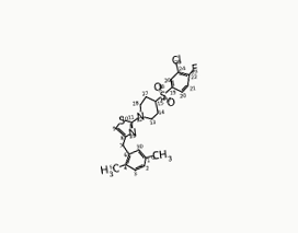 Cc1ccc(C)c(Cc2csc(N3CCC(S(=O)(=O)c4ccc(F)c(Cl)c4)CC3)n2)c1